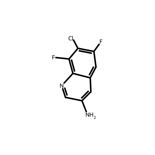 Nc1cnc2c(F)c(Cl)c(F)cc2c1